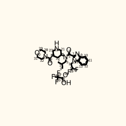 CC(C)CN(C(=O)c1nc2ccccc2n1CC(F)F)[C@@H]1CNC[C@H](C(=O)N2CCOCC2)C1.O=C(O)C(F)(F)F